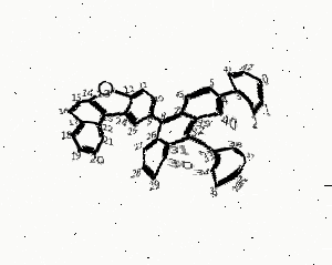 c1ccc(-c2ccc3c(-c4ccc5oc6ccc7ccccc7c6c5c4)c4ccccc4c(-c4ccccc4)c3c2)cc1